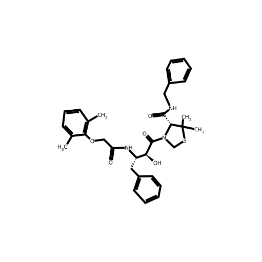 Cc1cccc(C)c1OCC(=O)N[C@@H](Cc1ccccc1)[C@H](O)C(=O)N1CSC(C)(C)[C@H]1C(=O)NCc1ccccc1